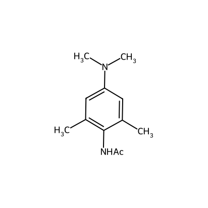 CC(=O)Nc1c(C)cc(N(C)C)cc1C